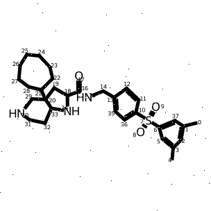 Cc1cc(C)cc(S(=O)(=O)c2ccc(CNC(=O)C3CC4(C5CCCCCCC5)CNCCC4N3)cc2)c1